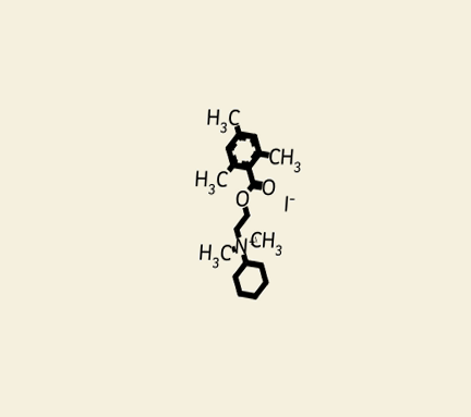 Cc1cc(C)c(C(=O)OCC[N+](C)(C)C2CCCCC2)c(C)c1.[I-]